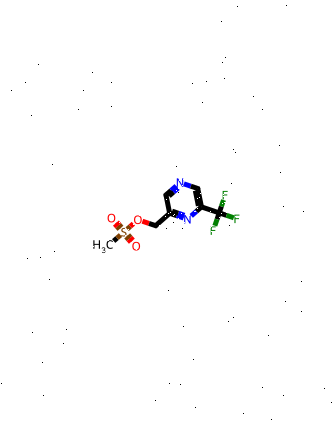 CS(=O)(=O)OCc1cncc(C(F)(F)F)n1